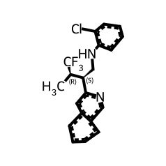 C[C@H]([C@@H](CNc1ccccc1Cl)c1cc2ccccc2cn1)C(F)(F)F